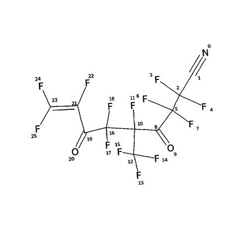 N#CC(F)(F)C(F)(F)C(=O)C(F)(C(F)(F)F)C(F)(F)C(=O)C(F)=C(F)F